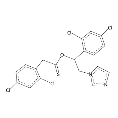 S=C(Cc1ccc(Cl)cc1Cl)OC(Cn1ccnc1)c1ccc(Cl)cc1Cl